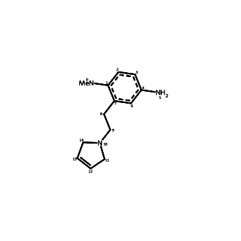 CNc1ccc(N)cc1CCN1CC=CC1